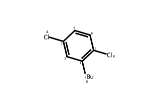 CCC(C)c1cc(Cl)ccc1Cl